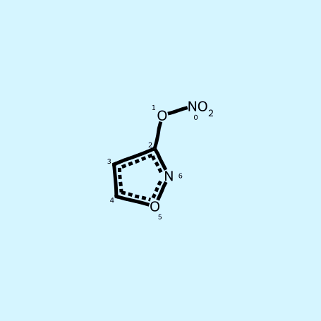 O=[N+]([O-])Oc1ccon1